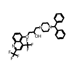 OC(COc1cccc2nc(C(F)(F)F)cc(C(F)(F)F)c12)CN1CCN(C(c2ccccc2)c2ccccc2)CC1